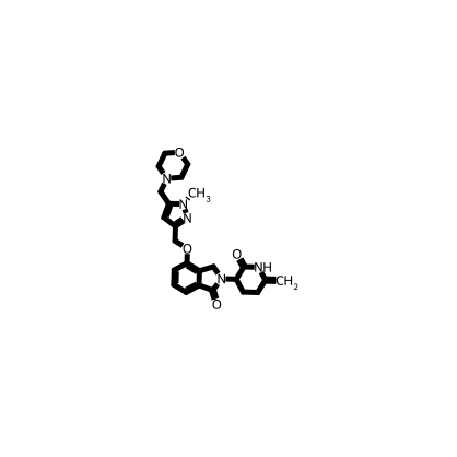 C=C1CCC(N2Cc3c(OCc4cc(CN5CCOCC5)n(C)n4)cccc3C2=O)C(=O)N1